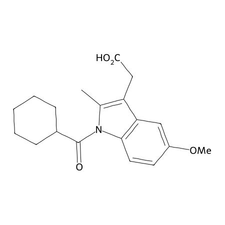 COc1ccc2c(c1)c(CC(=O)O)c(C)n2C(=O)C1CCCCC1